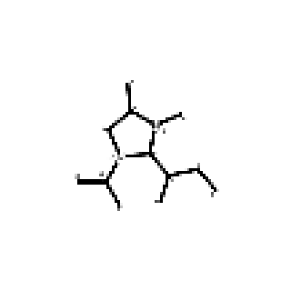 CCC(C)C1N(C)C(C)CN1C(C)C